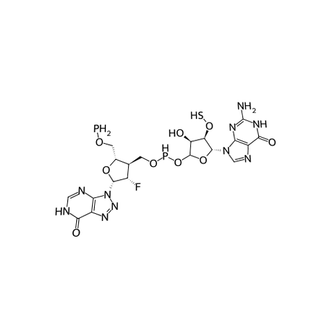 Nc1nc2c(ncn2[C@@H]2OC(OPOC[C@H]3[C@H](F)[C@H](n4nnc5c(=O)[nH]cnc54)O[C@@H]3COP)[C@@H](O)[C@H]2OS)c(=O)[nH]1